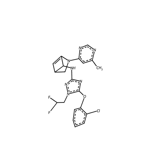 Cc1cc(N2CC3C=C2C3Nc2nc(Oc3ccccc3Cl)n(CC(F)F)n2)ncn1